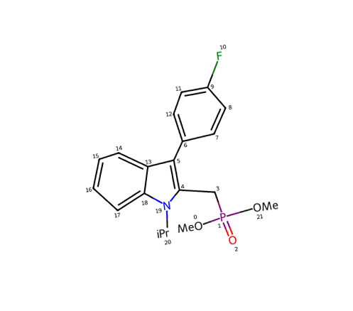 COP(=O)(Cc1c(-c2ccc(F)cc2)c2ccccc2n1C(C)C)OC